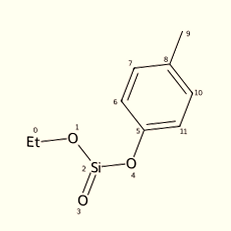 CCO[Si](=O)Oc1ccc(C)cc1